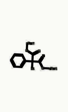 CCCCCOC(=O)C(CC)(C(=O)OCCCCC)c1ccccc1